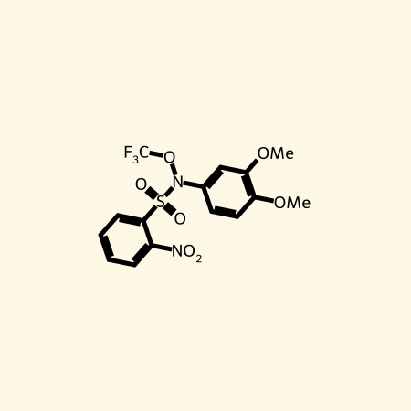 COc1ccc(N(OC(F)(F)F)S(=O)(=O)c2ccccc2[N+](=O)[O-])cc1OC